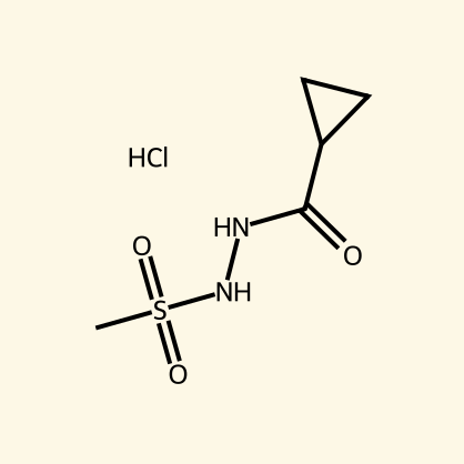 CS(=O)(=O)NNC(=O)C1CC1.Cl